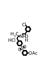 CC(=O)Oc1cccc(S(=O)(=O)c2ccc(C[C@@H](C)NC[C@@H](O)c3cccc(Cl)c3)cc2)c1.Cl